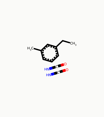 CCc1cccc(C)c1.N=C=O.N=C=O